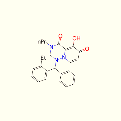 CCCN1CN(C(c2ccccc2)c2ccccc2CC)n2ccc(=O)c(O)c2C1=O